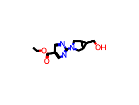 CCOC(=O)c1cnc(N2CC3C(CO)C3C2)nc1